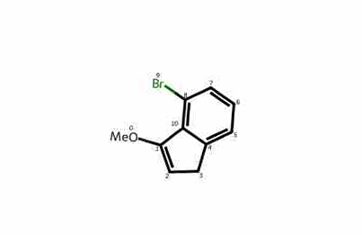 COC1=CCc2cccc(Br)c21